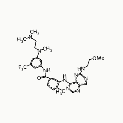 COCCNc1ncc2ncnc(Nc3cc(C(=O)Nc4cc(N(C)CCN(C)C)cc(C(F)(F)F)c4)ccc3C)c2n1